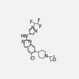 FC(F)C(F)n1cc(Nc2ncc3cc(Cl)c(C4CCN(C5COC5)CC4)cc3n2)cn1